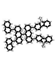 CCn1c2ccccc2c2ccc(-c3cccc4c(-c5c6cccc(-c7cccc8ccccc78)c6cc6c(-c7cccc8ccccc78)cccc56)c5cccc(-c6ccc7c8ccccc8n(CC)c7c6)c5cc34)cc21